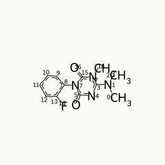 CN(C)c1nc(=O)n(-c2ccccc2F)c(=O)n1C